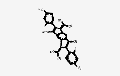 N#CC(C#N)=C1C(c2ccc(C(F)(F)F)cc2F)=C(C#N)c2cc3c(cc21)C(C#N)=C(c1ccc(C(F)(F)F)cc1F)C3=C(C#N)C#N